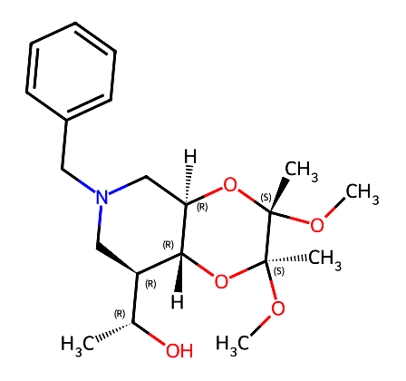 CO[C@@]1(C)O[C@@H]2[C@@H]([C@@H](C)O)CN(Cc3ccccc3)C[C@H]2O[C@]1(C)OC